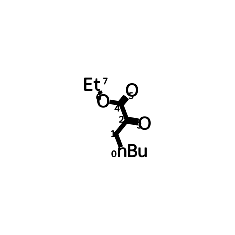 CCCCCC(=O)C(=O)OCC